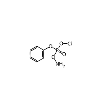 NOP(=O)(OCl)Oc1ccccc1